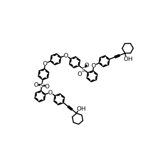 O=S(=O)(c1ccc(Oc2ccc(Oc3ccc(S(=O)(=O)c4ccccc4Oc4ccc(C#CC5(O)CCCCC5)cc4)cc3)cc2)cc1)c1ccccc1Oc1ccc(C#CC2(O)CCCCC2)cc1